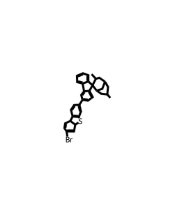 CC1CC2CC(C)C3(c4ccccc4-c4cc(-c5ccc6c(c5)SC5C=C(Br)C=CC65)ccc43)C(C1)C2